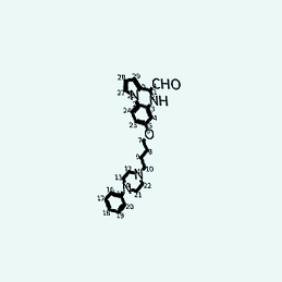 O=CC1Nc2cc(OCCCCN3CCN(c4ccccc4)CC3)ccc2-n2cccc21